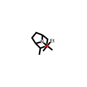 CCC(C)(C)N1C2CCC1C(C)OC2